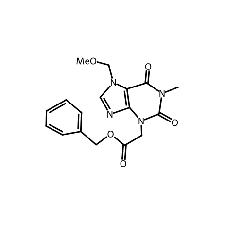 COCn1cnc2c1c(=O)n(C)c(=O)n2CC(=O)OCc1ccccc1